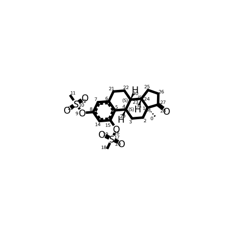 C[C@]12CC[C@@H]3c4c(cc(OS(C)(=O)=O)cc4OS(C)(=O)=O)CC[C@@H]3[C@@H]1CCC2=O